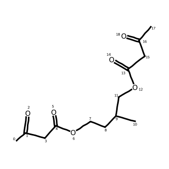 CC(=O)CC(=O)OCCC(C)COC(=O)CC(C)=O